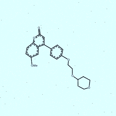 COc1ccc2oc(=O)cc(-c3ccc(OCCOC4CCOCC4)cc3)c2c1